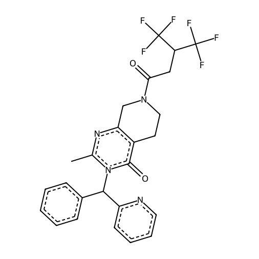 Cc1nc2c(c(=O)n1C(c1ccccc1)c1ccccn1)CCN(C(=O)CC(C(F)(F)F)C(F)(F)F)C2